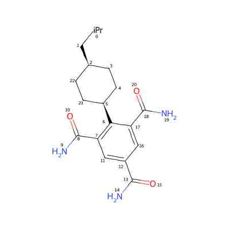 CC(C)C[C@H]1CC[C@@H](c2c(C(N)=O)cc(C(N)=O)cc2C(N)=O)CC1